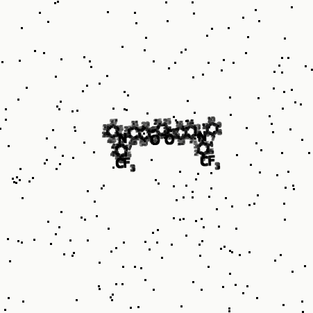 FC(F)(F)c1ccc(N(c2ccccc2)c2ccc3cc4c(cc3c2)oc2c4ccc3c4cc5ccc(N(c6ccccc6)c6ccc(C(F)(F)F)cc6)cc5cc4oc32)cc1